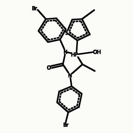 Cc1csc([PH]2(O)C(C)N(c3ccc(Br)cc3)C(=O)N2c2ccc(Br)cc2)c1